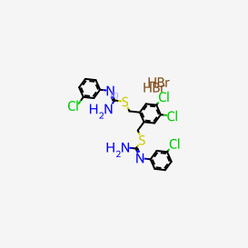 Br.Br.NC(=Nc1cccc(Cl)c1)SCc1cc(Cl)c(Cl)cc1CS/C(N)=N/c1cccc(Cl)c1